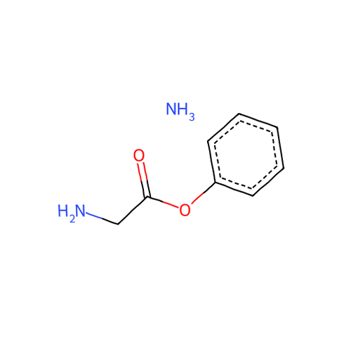 N.NCC(=O)Oc1ccccc1